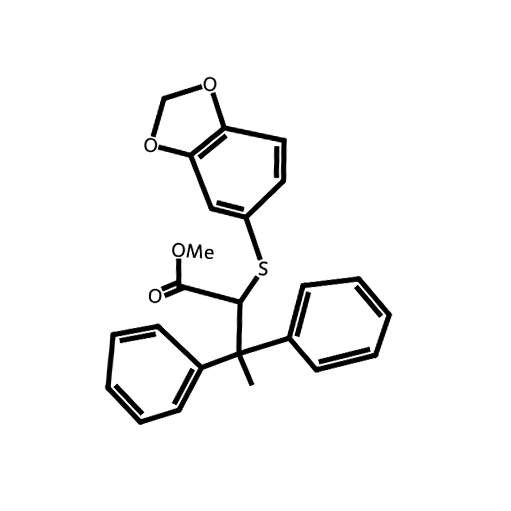 COC(=O)C(Sc1ccc2c(c1)OCO2)C(C)(c1ccccc1)c1ccccc1